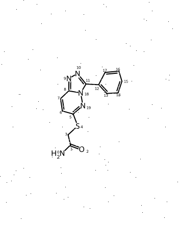 NC(=O)CSc1ccc2nnc(-c3ccccc3)n2n1